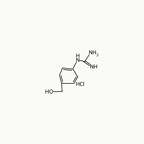 Cl.N=C(N)Nc1ccc(CO)cc1